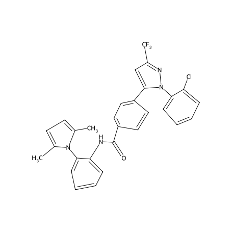 Cc1ccc(C)n1-c1ccccc1NC(=O)c1ccc(-c2cc(C(F)(F)F)nn2-c2ccccc2Cl)cc1